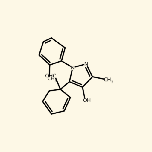 Cc1ccccc1-n1nc(C)c(O)c1C1(C=O)C=CC=CC1